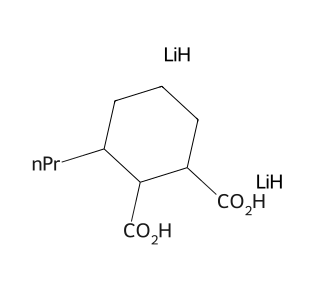 CCCC1CCCC(C(=O)O)C1C(=O)O.[LiH].[LiH]